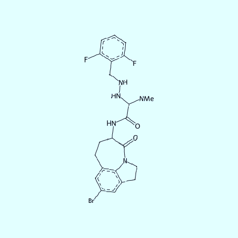 CNC(NNCc1c(F)cccc1F)C(=O)NC1CCc2cc(Br)cc3c2N(CC3)C1=O